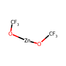 FC(F)(F)[O][Zn][O]C(F)(F)F